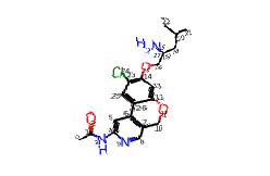 CC(=O)Nc1cc2c(cn1)COc1cc(OC[C@@H](N)CC(C)C)c(Cl)cc1-2